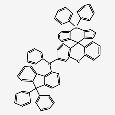 c1ccc(N(c2ccc3c(c2)Oc2ccccc2C32c3ccccc3[Si](c3ccccc3)(c3ccccc3)c3ccccc32)c2cccc3c2-c2ccccc2C3(c2ccccc2)c2ccccc2)cc1